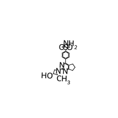 C[C@H]1[C@H](O)CN1c1nc2c(c(-c3ccc(S(N)(=O)=O)cc3)n1)CCC2